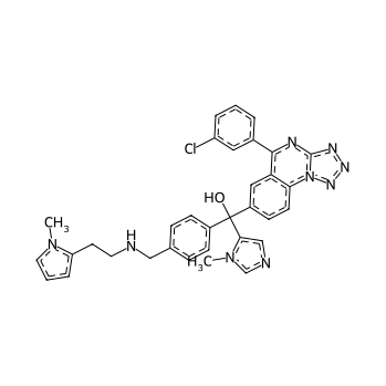 Cn1cccc1CCNCc1ccc(C(O)(c2ccc3c(c2)c(-c2cccc(Cl)c2)nc2nnnn23)c2cncn2C)cc1